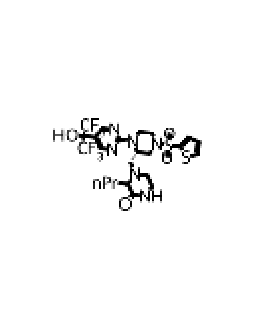 CCCC1C(=O)NCCN1C[C@H]1CN(S(=O)(=O)c2cccs2)CCN1c1ncc(C(O)(C(F)(F)F)C(F)(F)F)cn1